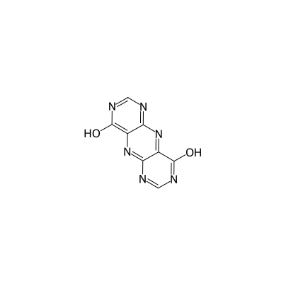 Oc1ncnc2nc3c(O)ncnc3nc12